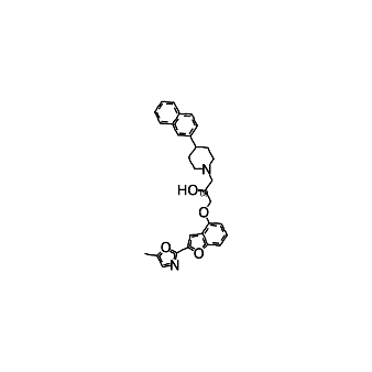 Cc1cnc(-c2cc3c(OC[C@@H](O)CN4CCC(c5ccc6ccccc6c5)CC4)cccc3o2)o1